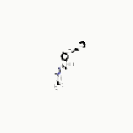 C=C(/N=C\C=C(/C)NCC(=O)NC)Nc1ccc(OC)c(OCCCN2CCCC2)c1